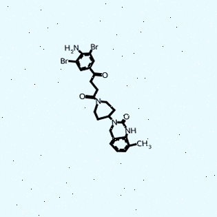 Cc1cccc2c1NC(=O)N(C1CCN(C(=O)CCC(=O)c3cc(Br)c(N)c(Br)c3)CC1)C2